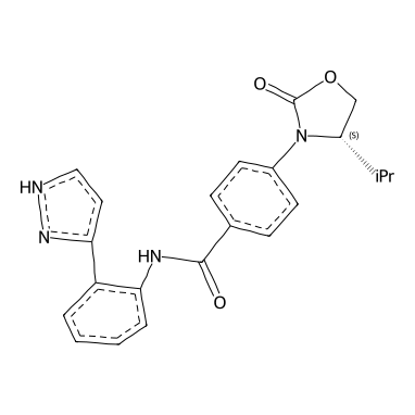 CC(C)[C@H]1COC(=O)N1c1ccc(C(=O)Nc2ccccc2-c2cc[nH]n2)cc1